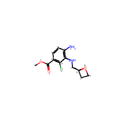 COC(=O)c1ccc(N)c(NCC2CCO2)c1Cl